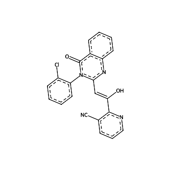 N#Cc1cccnc1C(O)=Cc1nc2ccccc2c(=O)n1-c1ccccc1Cl